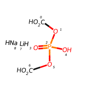 O=C(O)OP(=O)(O)OC(=O)O.[LiH].[NaH]